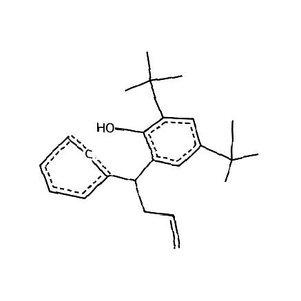 C=CCC(c1ccccc1)c1cc(C(C)(C)C)cc(C(C)(C)C)c1O